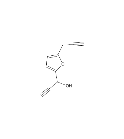 C#CCc1ccc(C(O)C#C)o1